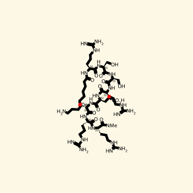 CCCCCCCCCCCCCCCC(=O)N[C@@H](CCCNC(=N)N)C(=O)N[C@@H](CO)C(=O)N[C@@H](CO)C(=O)N[C@@H](CCCNC(=N)N)C(=O)N[C@@H](CCC(=O)O)C(=O)N[C@@H](CCCCN)C(=O)N[C@@H](CCCNC(=N)N)C(=O)N[C@@H](CCCNC(=N)N)C(=O)NC